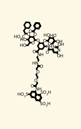 O=C(COCCOCC(=O)Nc1cc(S(=O)(=O)O)cc2cc(S(=O)(=O)O)cc(S(=O)(=O)O)c12)NCCNC(=O)C1CC(NC(=O)c2cc(O)nc(O)n2)C(OC2OC=C(O)C(O)C2O)C(OC2OC(CO)C(O)C(O[C@@H](CC3CCCCC3)C(=O)O)C2OC(=O)c2ccccc2)C1